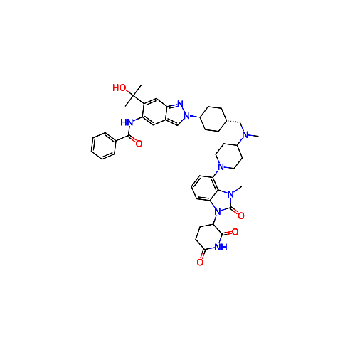 CN(C[C@H]1CC[C@H](n2cc3cc(NC(=O)c4ccccc4)c(C(C)(C)O)cc3n2)CC1)C1CCN(c2cccc3c2n(C)c(=O)n3C2CCC(=O)NC2=O)CC1